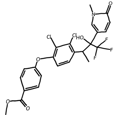 COC(=O)c1ccc(Oc2ccc(C(C)C(O)(c3ccc(=O)n(C)c3)C(F)(F)F)c(Cl)c2Cl)cc1